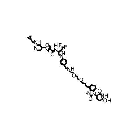 Cn1c(=O)n(C2CCC(O)NC2=O)c2cccc(CCCOCCOCCNCc3ccc(-n4cc(NC(=O)c5coc(-c6ccnc(NCC7CC7)c6)n5)c(C(F)F)n4)cc3)c21